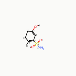 COC1=CC(S(N)(=O)=O)=C(C)CC1